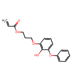 C=CC(=O)OCCCOc1cccc(Oc2ccccc2)c1O